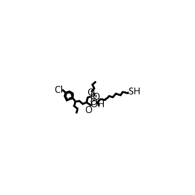 CCCOP(=O)(CC(CCC(CCC)c1ccc(Cl)cc1)C(=O)O)OC(C)CCCCCCCCS